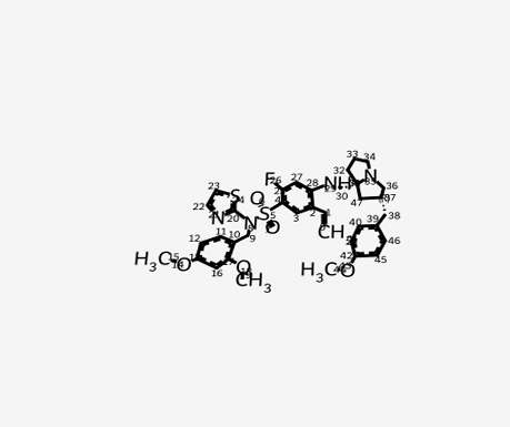 C=Cc1cc(S(=O)(=O)N(Cc2ccc(OC)cc2OC)c2nccs2)c(F)cc1NC[C@]12CCCN1C[C@H](Cc1ccc(OC)cc1)C2